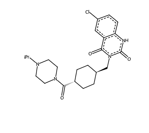 CC(C)N1CCN(C(=O)[C@H]2CC[C@H](Cn3c(=O)[nH]c4ccc(Cl)cc4c3=O)CC2)CC1